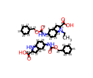 CCn1c(C(=O)O)cc2cc(NC(=O)OCc3ccccc3)ccc21.O=C(Nc1ccc2[nH]c(C(=O)O)cc2c1)OCc1ccccc1